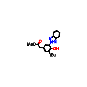 COC(=O)Cc1cc(-n2nc3ccccc3n2)c(O)c(C(C)(C)C)c1